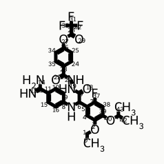 CCOc1cc(C(Nc2ccc(C(=N)N)cc2)C(=O)NNC(=O)c2ccc(OC(=O)C(F)(F)F)cc2)c(F)cc1OC(C)C